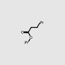 CC(C)[CH]CC(=O)OC(C)C